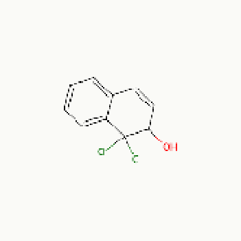 OC1C=Cc2ccccc2C1(Cl)Cl